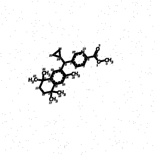 COC(=O)c1ccc(C(c2cc3c(cc2C)C(C)(C)CCC3(C)C)C2CC2)cn1